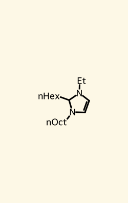 CCCCCCCCN1C=CN(CC)C1CCCCCC